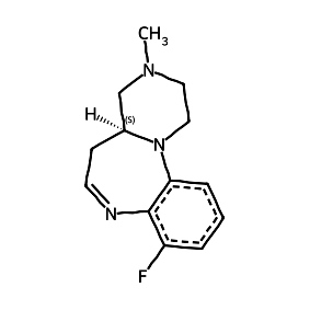 CN1CCN2c3cccc(F)c3N=CC[C@H]2C1